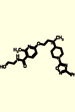 Cc1nc(OCC[C@@H](C)C2CCN(c3nc(C(C)C)no3)CC2)ccc1C(=O)NCCO